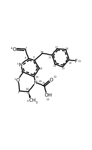 C[C@H]1COc2nc(C=O)c(Cc3ccc(F)cc3)cc2N1C(=O)O